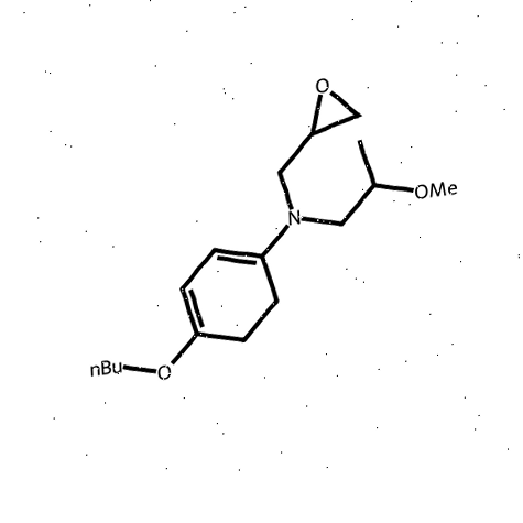 CCCCOC1=CC=C(N(CC(C)OC)CC2CO2)CC1